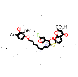 CCCc1c(OCCCC/C=C\C=C\[C@H](Sc2ccc3c(=O)cc(C(=O)O)oc3c2)[C@H](O)c2coc(F)c2)ccc(C(C)=O)c1O